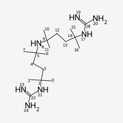 CC(C)(CCC(C)(C)NC(C)(C)CCC(C)(C)NC(=N)N)NC(=N)N